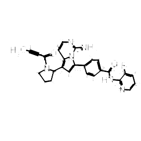 CC#CC(=O)N1CCCC1c1cc(-c2ccc(C(=O)Nc3ncccc3F)cc2)n2c(N)nccc12